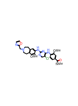 CNC(=O)c1ccc(Nc2nc(Nc3cc4c(cc3OC)CCN(Cc3ncco3)CC4)ncc2Cl)c(OC)c1